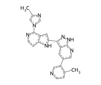 Cc1cn(-c2nccc3[nH]c(-c4n[nH]c5ncc(-c6cnccc6C)cc45)cc23)cn1